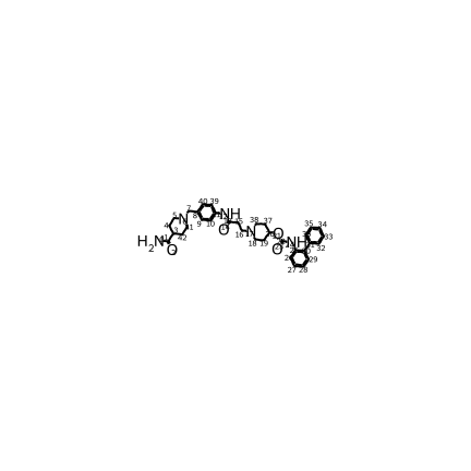 NC(=O)C1CCN(Cc2ccc(NC(=O)CCN3CCC(OC(=O)Nc4ccccc4-c4ccccc4)CC3)cc2)CC1